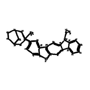 CCC1(c2ccc3oc4cc5c6ccccc6n(C)c5cc4c3c2)CC2CCC(C2)C1